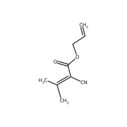 C=CCOC(=O)C(C#N)=C(C)C